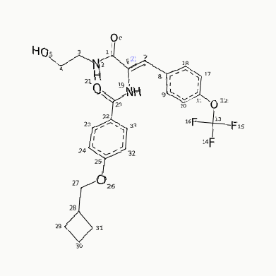 O=C(NCCO)/C(=C/c1ccc(OC(F)(F)F)cc1)NC(=O)c1ccc(OCC2CCC2)cc1